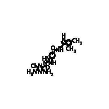 Cc1cc(C)c2c(CCNC(=O)N3CCC4(CC3)CN/C(=N\C(=O)c3nc(Cl)c(N)nc3N)N4)c[nH]c2c1